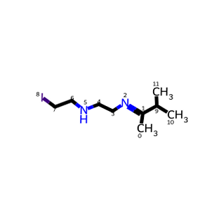 C/C(=N\CCNCCI)C(C)C